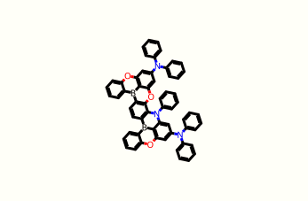 c1ccc(N(c2ccccc2)c2cc3c4c(c2)Oc2c(ccc5c2N(c2ccccc2)c2cc(N(c6ccccc6)c6ccccc6)cc6c2B5c2ccccc2O6)B4c2ccccc2O3)cc1